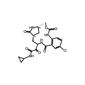 COC(=O)Nc1ccc(Cl)cc1C(=O)NC(C[C@@H]1C[C@@H](C)NC1=O)C(=O)C(=O)NC1CC1